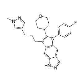 Cn1cc(CCCc2c(C3CCOCC3)n(-c3ccc(F)cc3)c3cc4cn[nH]c4cc23)cn1